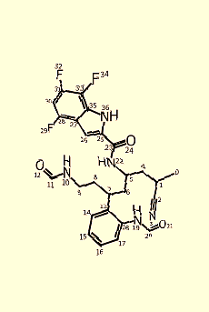 CC(C#N)CC(CC(CCNC=O)c1ccccc1NC=O)NC(=O)c1cc2c(F)cc(F)c(F)c2[nH]1